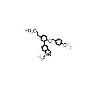 Cc1ccc(COc2ccc(CCC(=O)O)cc2-c2ccc3c(cnn3C)c2)cc1